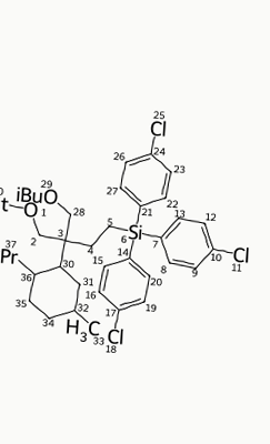 CCOCC(CC[Si](c1ccc(Cl)cc1)(c1ccc(Cl)cc1)c1ccc(Cl)cc1)(COCC(C)C)C1CC(C)CCC1C(C)C